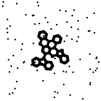 c1ccc2c(c1)Oc1cc(-n3c4ccccc4c4ccccc43)c3c4c1B2c1ccccc1N4c1oc2ccccc2c1O3